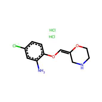 Cl.Cl.Nc1cc(Cl)ccc1OC=C1CNCCO1